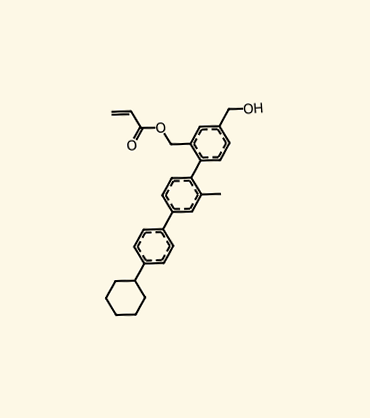 C=CC(=O)OCc1cc(CO)ccc1-c1ccc(-c2ccc(C3CCCCC3)cc2)cc1C